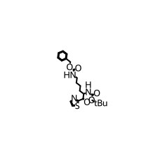 CC(C)(C)OC(=O)NC(CCCCNC(=O)OCc1ccccc1)C(=O)c1nccs1